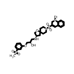 CCN1CC(S(=O)(=O)N2CCC3(CC2)C[C@@H](NC[C@H](O)COc2cccc(S(C)(=O)=O)c2)CO3)=Cc2ccccc21